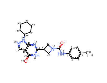 O=C(Nc1ccc(C(F)(F)F)cc1)N1CC(c2nc3c(cnn3C3CCCCC3)c(=O)[nH]2)C1